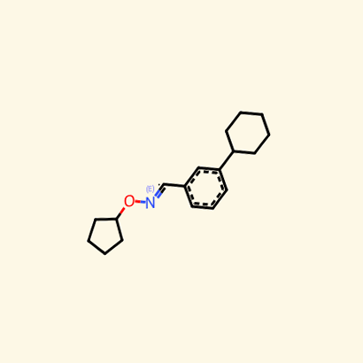 [C](=N\OC1CCCC1)/c1cccc(C2CCCCC2)c1